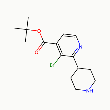 CC(C)(C)OC(=O)c1ccnc(C2CCNCC2)c1Br